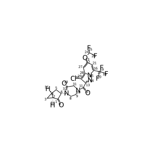 O=C1[C@H]2C[C@@H]2C[C@@H]1N1CCN(C(=O)c2nn3c(C(F)(F)F)cc(OC(F)F)cc3c2Cl)CC1=O